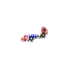 CO[C@H](C=O)Cc1ccc(NCCCc2cccc(OS(C)(=O)=O)c2)cc1